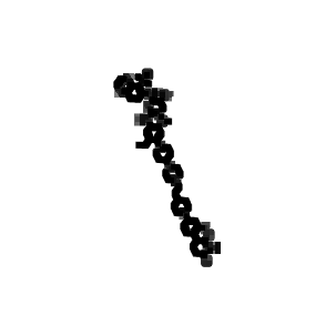 CCc1cc(Nc2ncc(Br)c(Nc3ccc4nccnc4c3P(C)(C)=O)n2)c(OC)cc1N1CCC(N2CCN(CCC3CCN(c4ccc(C5CCC(=O)NC5=O)c(F)c4)CC3)CC2)CC1